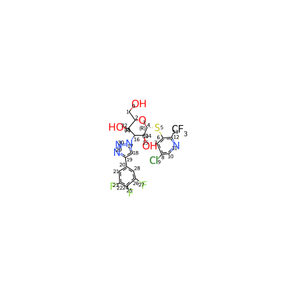 OCC1O[C@H](Sc2cc(Cl)cnc2C(F)(F)F)[C@@H](O)C(n2cc(-c3cc(F)c(F)c(F)c3)nn2)[C@H]1O